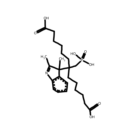 CC1=Nc2ccccc2C1(C)C(CCCCCC(=O)O)(CCCCCC(=O)O)CP(=O)(O)O